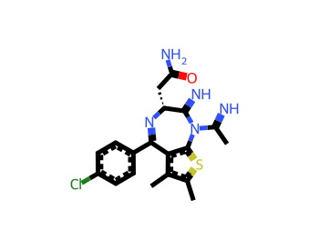 CC(=N)N1C(=N)[C@@H](CC(N)=O)N=C(c2ccc(Cl)cc2)c2c1sc(C)c2C